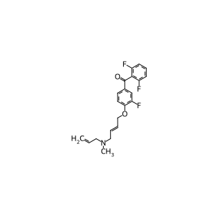 C=CCN(C)CC=CCOc1ccc(C(=O)c2c(F)cccc2F)cc1F